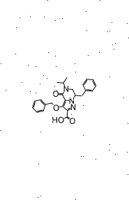 CC(C)N1CC(Cc2ccccc2)n2nc(C(=O)O)c(OCc3ccccc3)c2C1=O